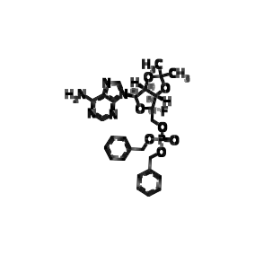 CC1(C)O[C@H]2[C@H](n3cnc4c(N)ncnc43)O[C@](F)(COP(=O)(OCc3ccccc3)OCc3ccccc3)[C@H]2O1